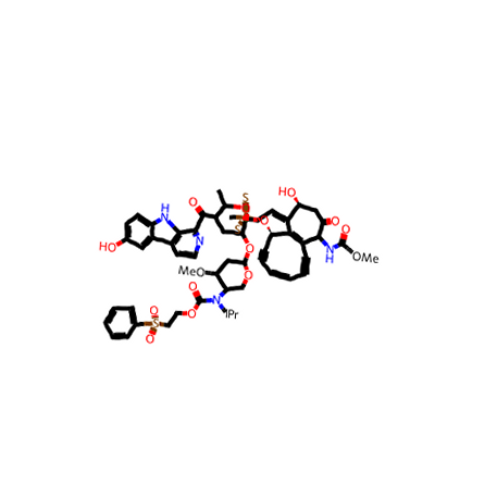 COC(=O)NC1C(=O)C[C@H](O)/C(=C/CS(C)(=S)=S)C2=C1C#C/C=C\C#C[C@@H]2OC1OC(C)C(C(=O)c2nccc3c2[nH]c2ccc(O)cc23)CC1OC1CC(OC)C(N(C(=O)OCCS(=O)(=O)c2ccccc2)C(C)C)CO1